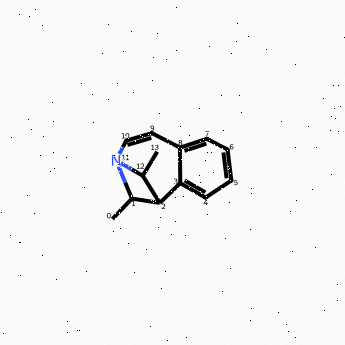 CC1C2c3ccccc3C=CN1C2C